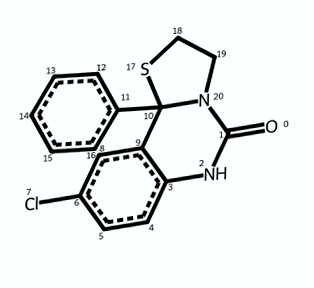 O=C1Nc2ccc(Cl)cc2C2(c3ccccc3)SCCN12